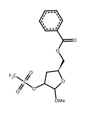 COC1O[C@H](COC(=O)c2ccccc2)CC1OS(=O)(=O)C(F)(F)F